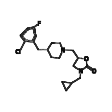 O=C1OC(CN2CCC(Cc3cc(F)ccc3Cl)CC2)CN1CC1CC1